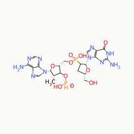 C[C@H]1[C@H](O[PH](=O)O)[C@@H](COP(=O)(O)[C@@H]2C[C@@H](CO)O[C@H]2n2cnc3c(=O)[nH]c(N)nc32)O[C@H]1n1cnc2c(N)ncnc21